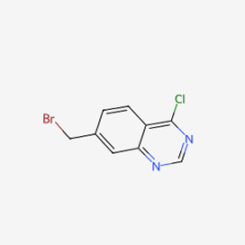 Clc1ncnc2cc(CBr)ccc12